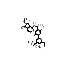 CCN1Cc2c(ccnc2NC(C)c2cc(F)c(-c3cc(C(C)(C)F)cc(CF)n3)cc2F)C1=O